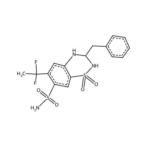 CC(F)(F)c1cc2c(cc1S(N)(=O)=O)S(=O)(=O)NC(Cc1ccccc1)N2